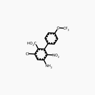 Nc1cc(Cl)c(C(=O)O)c(-c2ccc(OC(F)(F)F)cc2)c1[N+](=O)[O-]